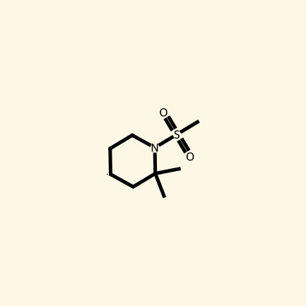 CC1(C)C[CH]CCN1S(C)(=O)=O